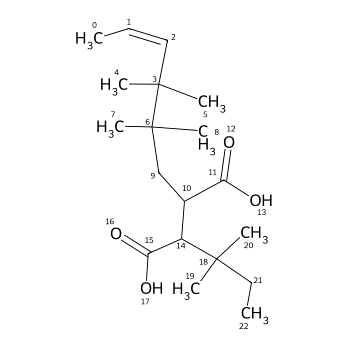 C/C=C\C(C)(C)C(C)(C)CC(C(=O)O)C(C(=O)O)C(C)(C)CC